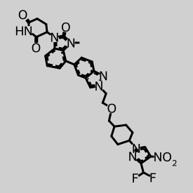 Cn1c(=O)n(C2CCC(=O)NC2=O)c2cccc(-c3ccc4nn(CCOCC5CCC(n6cc([N+](=O)[O-])c(C(F)F)n6)CC5)cc4c3)c21